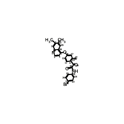 Cc1cc2nccc(Oc3ccc(C(=O)C(=O)Nc4ccc(Br)cc4)c(F)c3)c2cc1C